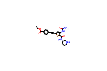 CCOC(=O)c1ccc(C#Cc2cc(NC(N)=O)c(C(=O)N[C@H]3CCCNC3)s2)cc1